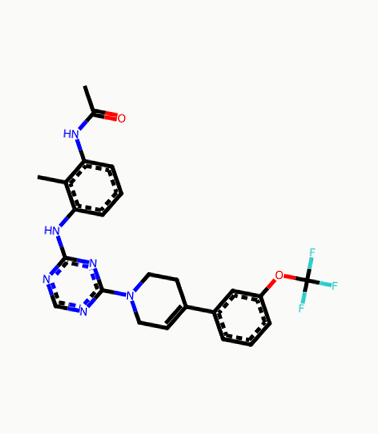 CC(=O)Nc1cccc(Nc2ncnc(N3CC=C(c4cccc(OC(F)(F)F)c4)CC3)n2)c1C